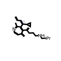 C=C/C=C(\C1=C(C(=C)CCCNCC(C)C)C(=C)C=CN=C1C)C1CC1